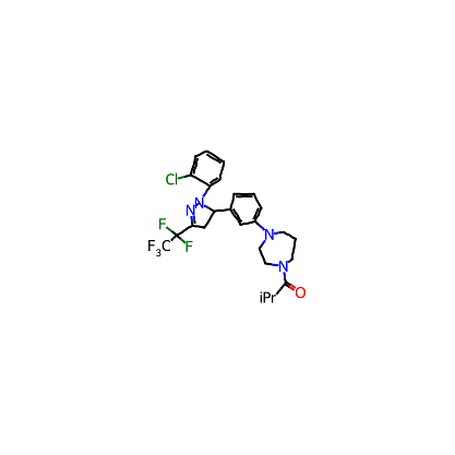 CC(C)C(=O)N1CCCN(c2cccc(C3CC(C(F)(F)C(F)(F)F)=NN3c3ccccc3Cl)c2)CC1